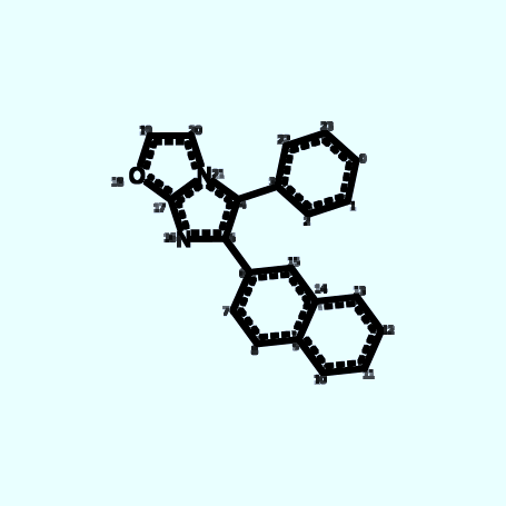 c1ccc(-c2c(-c3ccc4ccccc4c3)nc3occn23)cc1